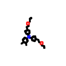 C=CCOCCc1ccc(N(c2ccc(CCOCC=C)cc2)c2ccc(C)c(C)c2)cc1